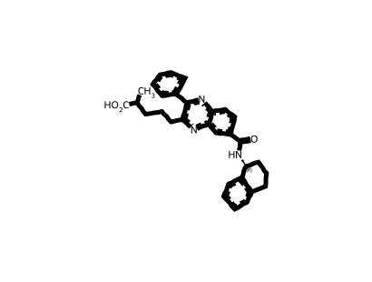 CC(CCCc1nc2cc(C(=O)N[C@@H]3CCCc4ccccc43)ccc2nc1-c1ccccc1)C(=O)O